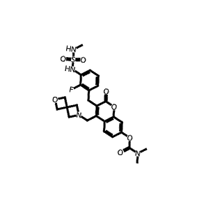 CNS(=O)(=O)Nc1cccc(Cc2c(CN3CC4(COC4)C3)c3ccc(OC(=O)N(C)C)cc3oc2=O)c1F